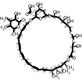 CC1OC(O[C@H]2/C=C/C=C/C=C/C=C/C=C/C=C/C=C/[C@H](C)[C@@H](O)[C@@H](C)[C@H](C)OC(=O)C[C@H](O)C[C@H](O)CC[C@@H](O)[C@H](O)C[C@H](O)C[C@@H]3C[C@H](O)[C@@H](C(=O)O)C(C2)O3)C(O)C(N)C1C